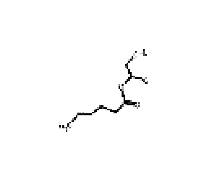 CCCCCC(=O)OC(Cl)CC